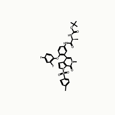 Cc1ccc(S(=O)(=O)n2ccc3c(-c4cc(NC(=O)[C@H](C)NC(=O)OC(C)(C)C)ccc4Oc4ccc(F)cc4F)cn(C)c(=O)c32)cc1